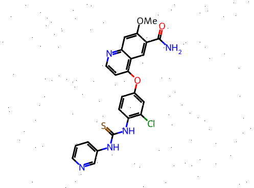 COc1cc2nccc(Oc3ccc(NC(=S)Nc4cccnc4)c(Cl)c3)c2cc1C(N)=O